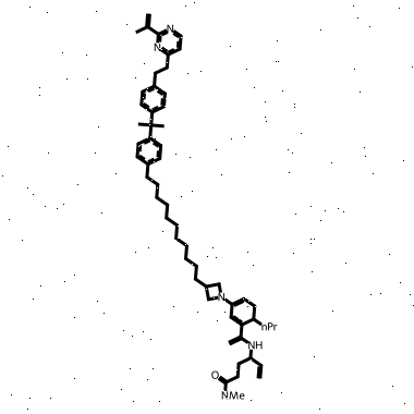 C=CC(CCC(=O)NC)NC(=C)C1=CC(N2CC(CCCCCCCCCCCc3ccc(C(C)(C)c4ccc(CCc5ccnc(C(=C)C)n5)cc4)cc3)C2)=CCC1CCC